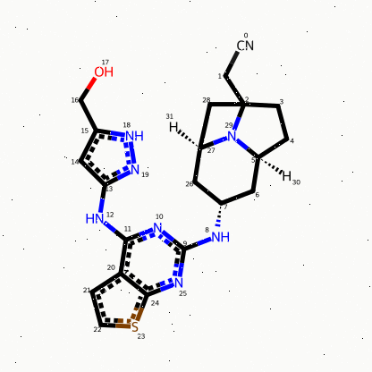 N#CCC12CC[C@H]3C[C@H](Nc4nc(Nc5cc(CO)[nH]n5)c5ccsc5n4)C[C@@H](C1)N32